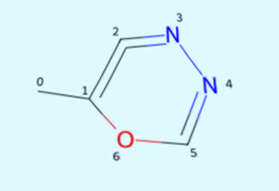 CC1=C=NN=CO1